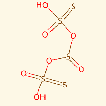 O=S(OS(=O)(O)=S)OS(=O)(O)=S